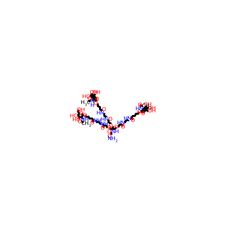 CC(=O)NC1C(O)[C@@H](O)C(CO)O[C@H]1OCCCCC(=O)NCCCNC(=O)CCOCC(COCCC(=O)NCCCNC(=O)CCCCO[C@@H]1OC2C3(CO)C(C(O)[C@H]3O)C21NC(C)=O)(COCCC(=O)NCCCNC(=O)CCCCO[C@@H]1OC2C3(CO)C(C(O)[C@H]3O)C21NC(C)=O)NC(=O)CON